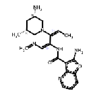 C=N/C=C(NC(=O)c1c(N)oc2cccnc12)\C(=C/C)N1C[C@H](C)C[C@H](N)C1